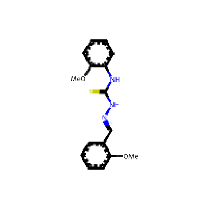 COc1ccccc1/C=N/NC(=S)Nc1ccccc1OC